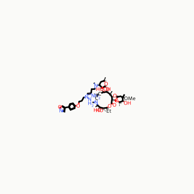 CC[C@H]1OC(=O)[C@H](C)[C@@H](O[C@H]2C[C@@](C)(OC)[C@@H](O)[C@H](C)O2)[C@H](C)[C@@H](O[C@@H]2O[C@H](C)C[C@H](N(C)CC/C(N)=C/N(N)CCCOc3ccc(-c4cnoc4)cc3)[C@H]2O)[C@](C)(O)C[C@@H](C)CN(C)[C@H](C)[C@@H](O)[C@]1(C)O